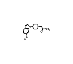 NC(=O)CN1CCC(n2ccc3ccc(N=O)cc32)CC1